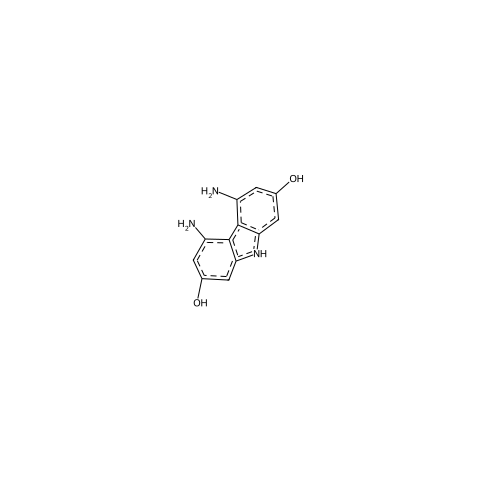 Nc1cc(O)cc2[nH]c3cc(O)cc(N)c3c12